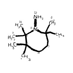 CC1(C)CCC(C)(C)C(C)(C)N1N